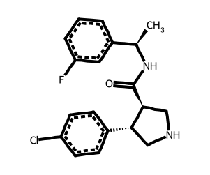 C[C@@H](NC(=O)[C@H]1CNC[C@@H]1c1ccc(Cl)cc1)c1cccc(F)c1